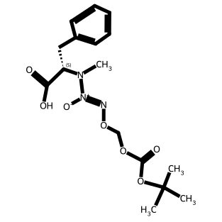 CN([C@@H](Cc1ccccc1)C(=O)O)[N+]([O-])=NOCOC(=O)OC(C)(C)C